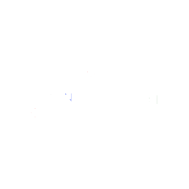 O=C1CCC(=O)N1Cc1ccc(Cl)cc1